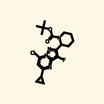 CC(C)(C)OC(=O)N1CCCCC1c1nn2c(Cl)cc(C3CC3)nc2c1F